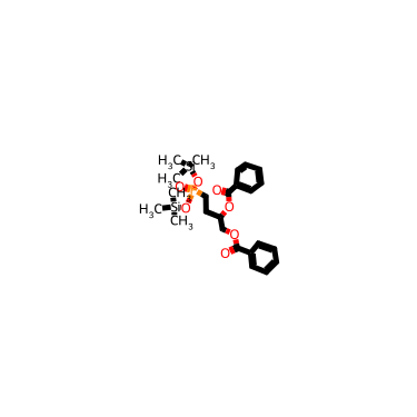 C[Si](C)(C)OP(=O)(CCC(COC(=O)c1ccccc1)OC(=O)c1ccccc1)O[Si](C)(C)C